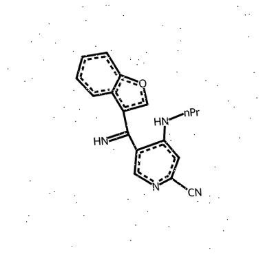 CCCNc1cc(C#N)ncc1C(=N)c1coc2ccccc12